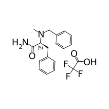 CN(Cc1ccccc1)[C@@H](Cc1ccccc1)C(N)=O.O=C(O)C(F)(F)F